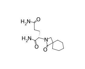 NC(=O)CC[C@@H](C(N)=O)N1CC2(CCCCC2)C1=O